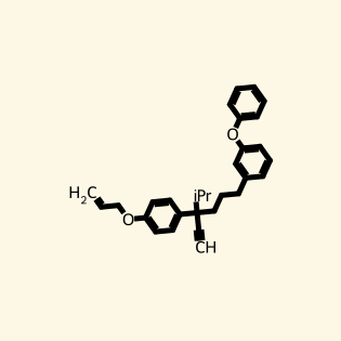 C#CC(CCCc1cccc(Oc2ccccc2)c1)(c1ccc(OCC=C)cc1)C(C)C